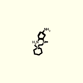 CN(CC[N+]1(C)CCCCC1)c1cc(N)ccc1N